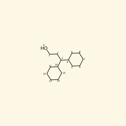 OCCC(C1CCCCC1)C1CCCCC1